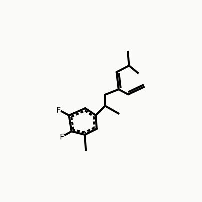 C=C/C(=C\C(C)C)CC(C)c1cc(C)c(F)c(F)c1